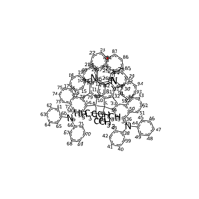 CC(C)(C)C1(C2(C(C)(C)C)c3cc(N(c4ccccc4)c4ccccc4)c4ccccc4c3-c3c2cc(N(c2ccccc2)c2ccccc2)c2ccccc32)c2cc(N(c3ccccc3)c3ccccc3)c3ccccc3c2-c2c1cc(N(c1ccccc1)c1ccccc1)c1ccccc21